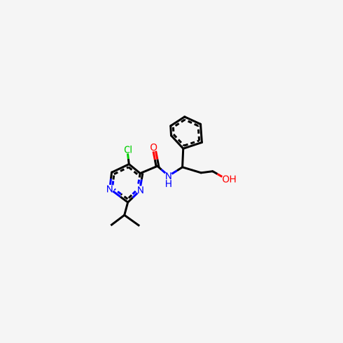 CC(C)c1ncc(Cl)c(C(=O)NC(CCO)c2ccccc2)n1